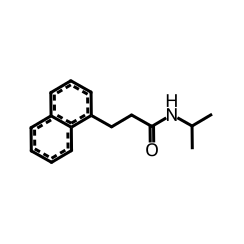 CC(C)NC(=O)CCc1cccc2ccccc12